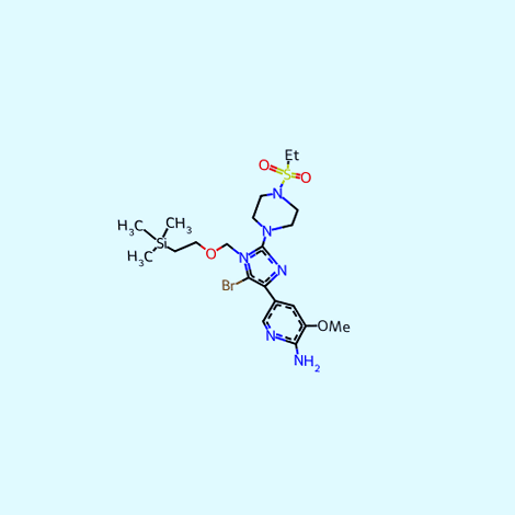 CCS(=O)(=O)N1CCN(c2nc(-c3cnc(N)c(OC)c3)c(Br)n2COCC[Si](C)(C)C)CC1